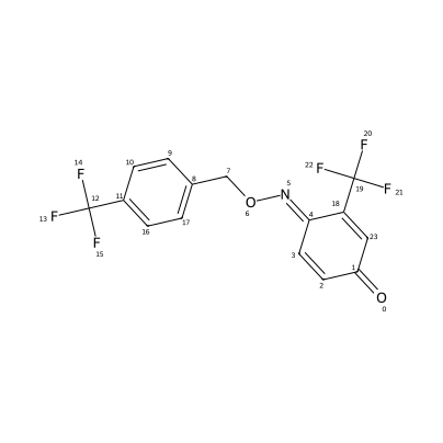 O=C1C=CC(=NOCc2ccc(C(F)(F)F)cc2)C(C(F)(F)F)=C1